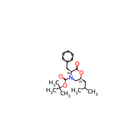 CC(C)C[C@H]1CN(C(=O)OC(C)(C)C)[C@@H](Cc2ccccc2)C(=O)O1